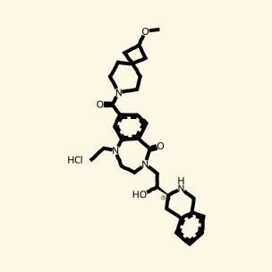 CCN1CCN(CC(O)[C@@H]2Cc3ccccc3CN2)C(=O)c2ccc(C(=O)N3CCC4(CC3)CC(OC)C4)cc21.Cl